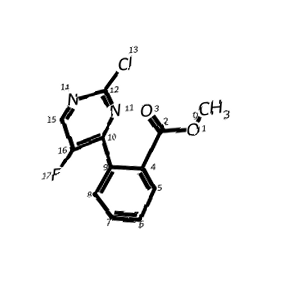 COC(=O)c1ccccc1-c1nc(Cl)ncc1F